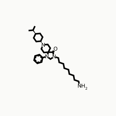 CC(C)[C@H]1CC[C@H](N2CCC3(CC2)C(=O)N(CCCCCCCCCN)CN3c2ccccc2)CC1